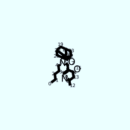 CCCCCN(C(=O)C1=CN=C(C)CC1=O)C12CC3CC(CC(C3)C1)C2